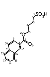 O=C(OCCCCS(=O)(=O)O)c1ccc2ccccc2c1